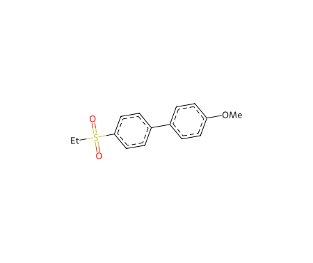 CCS(=O)(=O)c1ccc(-c2ccc(OC)cc2)cc1